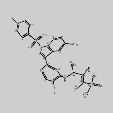 Cc1ccc(S(=O)(=O)n2cc(-c3ncc(F)c(N[C@@H](C(=C(C(C)C)P(=O)(O)O)C(C)C)C(C)(C)C)n3)c3cc(F)cnc32)cc1